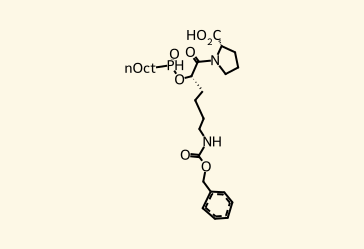 CCCCCCCC[PH](=O)O[C@@H](CCCCNC(=O)OCc1ccccc1)C(=O)N1CCC[C@H]1C(=O)O